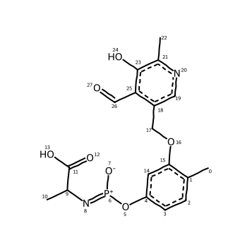 Cc1ccc(O/[P+]([O-])=N/C(C)C(=O)O)cc1OCc1cnc(C)c(O)c1C=O